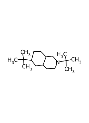 CC(C)(C)C1CCC2CN(C(C)(C)C)CCC2C1